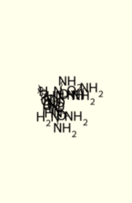 Cc1cc(C)c(-c2cc(C)c(OCC(=O)N(CCNC(=O)C(CCCCN)NC(=O)C(N)CCCCN)CCNC(=O)C(CCCCNC(=O)C(N)CCCCN)NC(=O)C(N)CCCCN)cc2C)c(C)c1